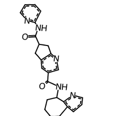 O=C(NC1CCCCc2cccnc21)c1cnc2c(c1)CC(C(=O)Nc1ccccn1)C2